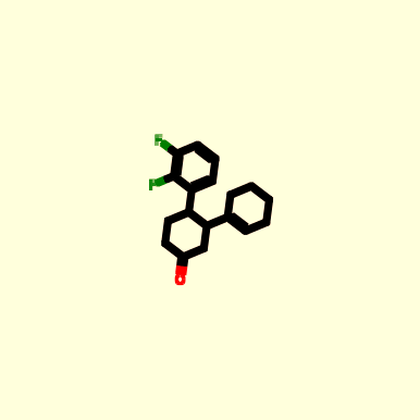 O=C1CCC(c2cccc(F)c2F)C(C2=CCCCC2)C1